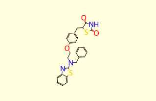 O=C1NC(=O)C(Cc2ccc(OCCN(Cc3ccccc3)c3nc4ccccc4s3)cc2)S1